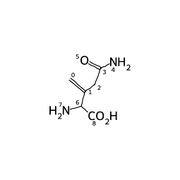 C=C(CC(N)=O)C(N)C(=O)O